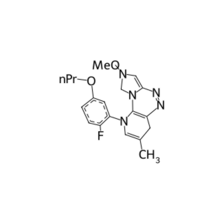 CCCOc1ccc(F)c(N2C=C(C)CC3=C2N2CN(OC)C=C2N=N3)c1